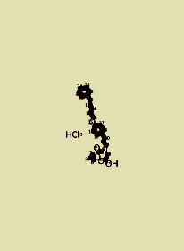 CC(C)(C)OC(=O)N(CCCc1ccc(OCCCCCc2ccccc2)cc1)CC(=O)O.Cl